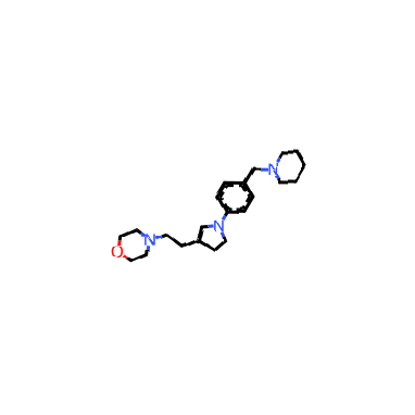 c1cc(N2CCC(CCN3CCOCC3)C2)ccc1CN1CCCCC1